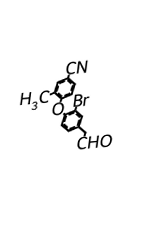 Cc1cc(C#N)ccc1Oc1ccc(CC=O)cc1Br